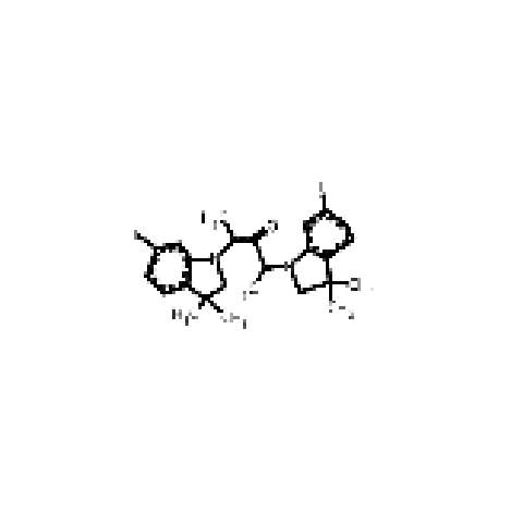 CC(C(=O)C(C)N1CC(C)(C)c2ccc(I)cc21)N1CC(C)(C)c2ccc(I)cc21